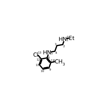 CCNCCCNc1c(C)cccc1Cl